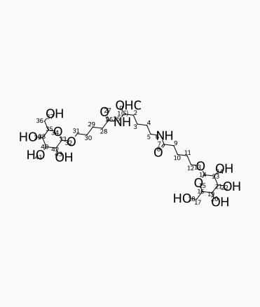 O=C[C@H](CCCCNC(=O)CCCCOC1OC(CO)C(O)C(O)C1O)NC(=O)CCCCOC1OC(CO)C(O)C(O)C1O